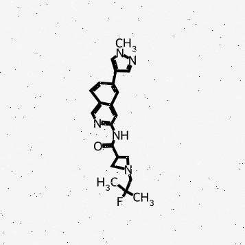 Cn1cc(-c2ccc3cnc(NC(=O)C4CN(CC(C)(C)F)C4)cc3c2)cn1